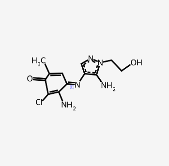 CC1=C/C(=N\c2cnn(CCO)c2N)C(N)=C(Cl)C1=O